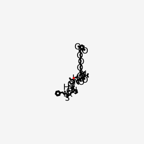 CC[C@H](C)[C@@H]([C@@H](CC(=O)N1CCC[C@H]1[C@H](OC)[C@@H](C)C(=S)NCCc1ccccc1)OC)N(C)[C@H](C(=O)NC(=O)[C@H](C(C)C)N(C)C(=O)CCOCCOCCOCCN1C(=O)C=CC1=O)C(C)C